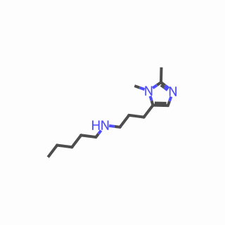 CCCCCNCCCc1cnc(C)n1C